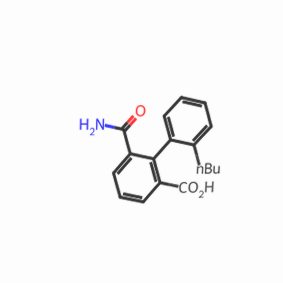 CCCCc1ccccc1-c1c(C(N)=O)cccc1C(=O)O